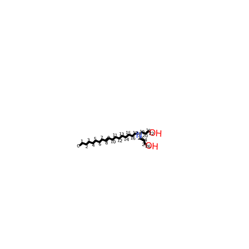 CCCCCCCCC=CCCCCCCCCN(CCCO)CCCO